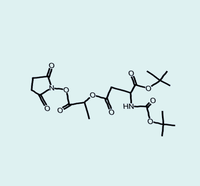 CC(OC(=O)CC(NC(=O)OC(C)(C)C)C(=O)OC(C)(C)C)C(=O)ON1C(=O)CCC1=O